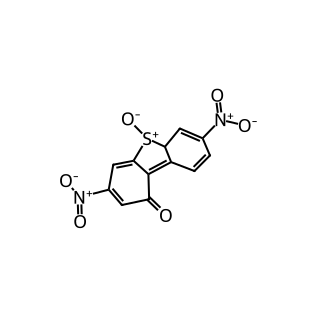 O=C1C=C([N+](=O)[O-])C=C2C1=C1C=CC([N+](=O)[O-])=CC1[S+]2[O-]